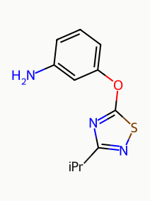 CC(C)c1nsc(Oc2cccc(N)c2)n1